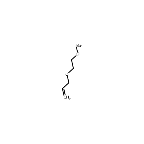 C=CCOCCO[C](C)CC